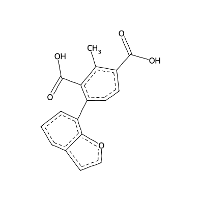 Cc1c(C(=O)O)ccc(-c2cccc3ccoc23)c1C(=O)O